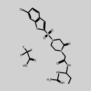 CCC(NC(=N)N)NC(=O)CN1CCN(S(=O)(=O)c2cc3ccc(Cl)cc3s2)CC1=O.O=C(O)C(F)(F)F